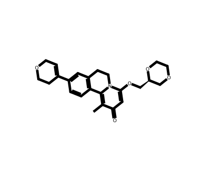 Cc1c2n(c(OC[C@@H]3COCCO3)cc1=O)CCc1cc(C3=CCOCC3)ccc1-2